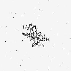 C[S+]([O-])CCCCN=C=S.Nc1ncn([C@@H]2O[C@H](CO)[C@@H](O)[C@H]2O)c(=O)n1